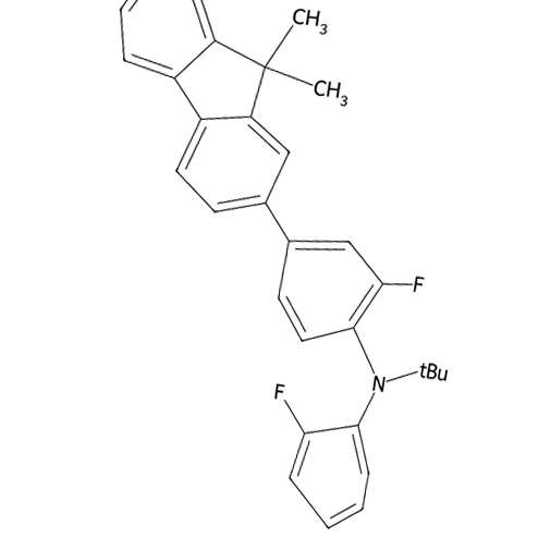 CC1(C)c2ccccc2-c2ccc(-c3ccc(N(c4ccccc4F)C(C)(C)C)c(F)c3)cc21